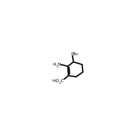 CC(C)(C)C1CCCC(C(=O)O)=C1N